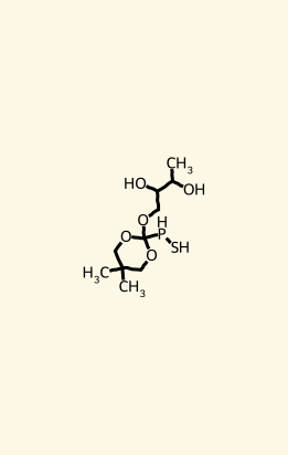 CC(O)C(O)COC1(PS)OCC(C)(C)CO1